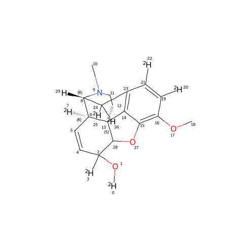 [2H]OC1([2H])C=C[C@@]2([2H])[C@@H]3N(C)CC[C@@]24c2c(c(OC)c([2H])c([2H])c2C3([2H])[2H])OC14